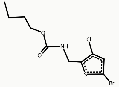 CCCCOC(=O)NCc1sc(Br)cc1Cl